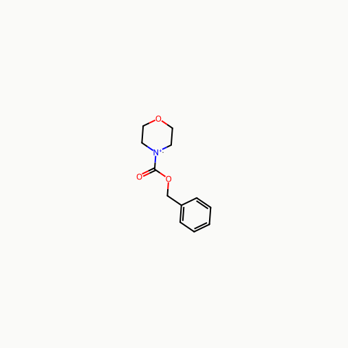 O=C(OCc1ccccc1)[N+]1CCOCC1